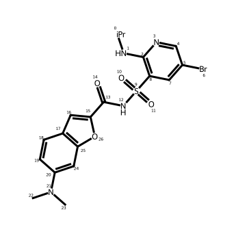 CC(C)Nc1ncc(Br)cc1S(=O)(=O)NC(=O)c1cc2ccc(N(C)C)cc2o1